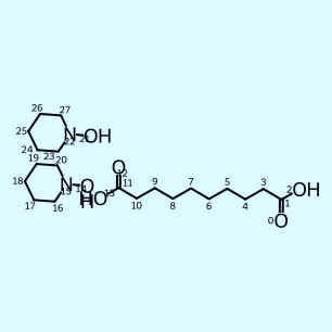 O=C(O)CCCCCCCCC(=O)O.ON1CCCCC1.ON1CCCCC1